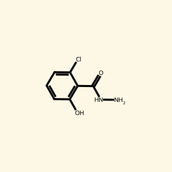 NNC(=O)c1c(O)cccc1Cl